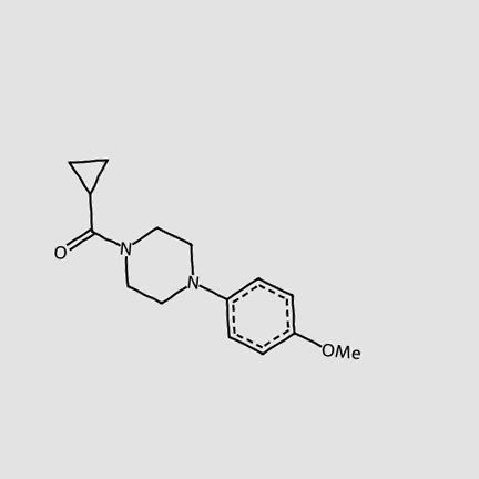 COc1ccc(N2CCN(C(=O)C3CC3)CC2)cc1